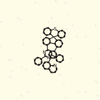 c1ccc(-c2cc(-c3cccc4c3-c3c(-c5ccc(-c6cccc7cccnc67)cc5)cccc3C43c4ccccc4Sc4ccccc43)nc(-c3ccccc3)n2)cc1